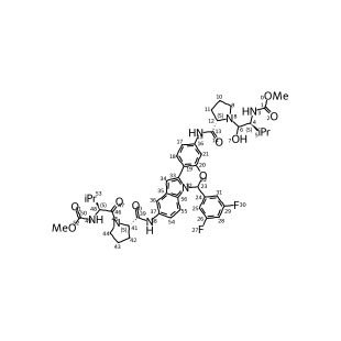 COC(=O)N[C@@H](C(C)C)C(O)N1CCC[C@H]1C(=O)Nc1ccc2c(c1)OC(c1cc(F)cc(F)c1)n1c-2cc2cc(NC(=O)[C@@H]3CCCN3C(=O)[C@@H](NC(=O)OC)C(C)C)ccc21